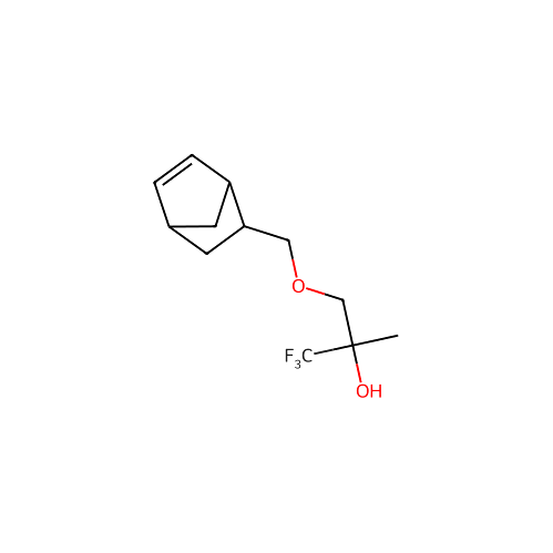 CC(O)(COCC1CC2C=CC1C2)C(F)(F)F